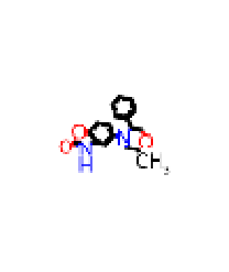 CC1CN(c2ccc3oc(=O)[nH]c3c2)C(c2ccccc2)CO1